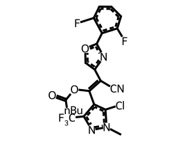 CCCCC(=O)O/C(=C(/C#N)c1coc(-c2c(F)cccc2F)n1)c1c(C(F)(F)F)nn(C)c1Cl